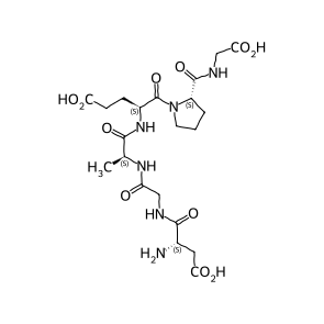 C[C@H](NC(=O)CNC(=O)[C@@H](N)CC(=O)O)C(=O)N[C@@H](CCC(=O)O)C(=O)N1CCC[C@H]1C(=O)NCC(=O)O